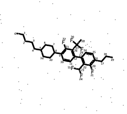 CCCCCC1CCC(c2ccc(-c3ccc(CCC)c(F)c3C(F)F)c(C(C)(F)F)c2F)CC1